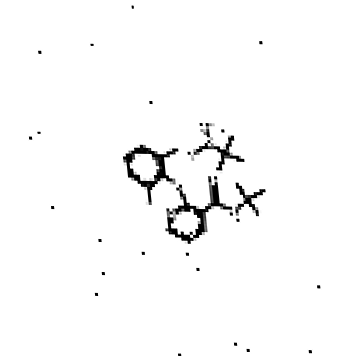 Cc1cccc(CN[S+]([O-])C(C)(C)C)c1Sc1ncccc1C(=O)OC(C)(C)C